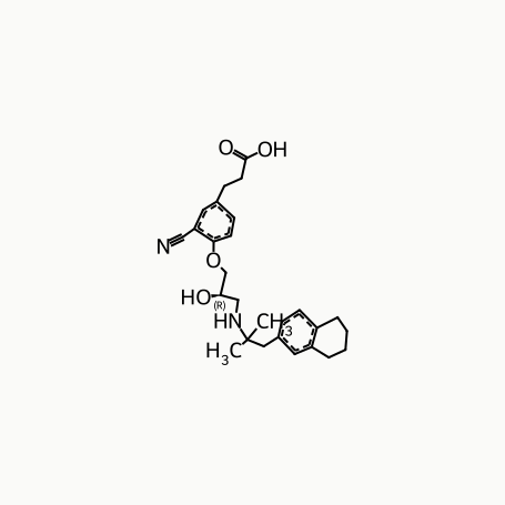 CC(C)(Cc1ccc2c(c1)CCCC2)NC[C@@H](O)COc1ccc(CCC(=O)O)cc1C#N